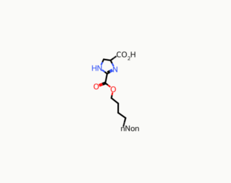 CCCCCCCCCCCCCOC(=O)C1=NC(C(=O)O)CN1